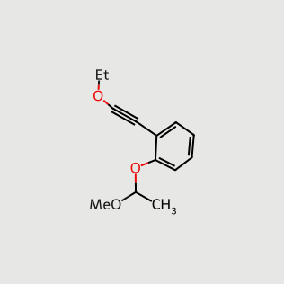 CCOC#Cc1ccccc1OC(C)OC